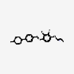 C/C=C/Oc1ccc(OCc2ccc(C3CCC(C)CC3)cc2)c(F)c1F